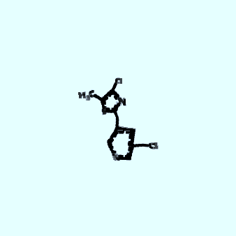 Cc1sc(-c2cncc(Cl)c2)nc1Cl